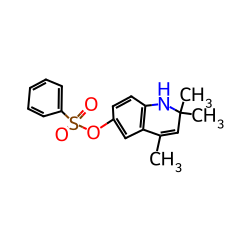 CC1=CC(C)(C)Nc2ccc(OS(=O)(=O)c3ccccc3)cc21